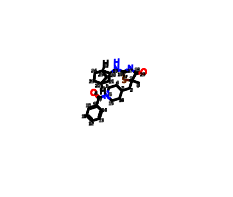 CC1(CC2CCN(C(=O)c3ccccc3)CC2)SC(N[C@H]2C[C@@H]3CC[C@H]2C3)=NC1=O